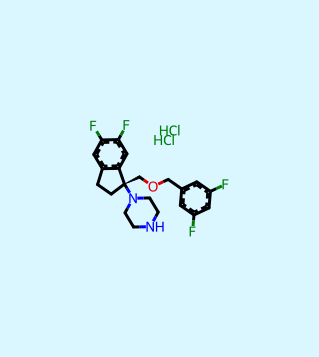 Cl.Cl.Fc1cc(F)cc(COC[C@@]2(N3CCNCC3)CCc3cc(F)c(F)cc32)c1